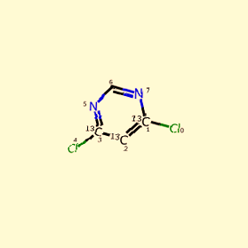 Cl[13c]1[13cH][13c](Cl)ncn1